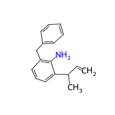 C=CC(C)c1cccc(Cc2ccccc2)c1N